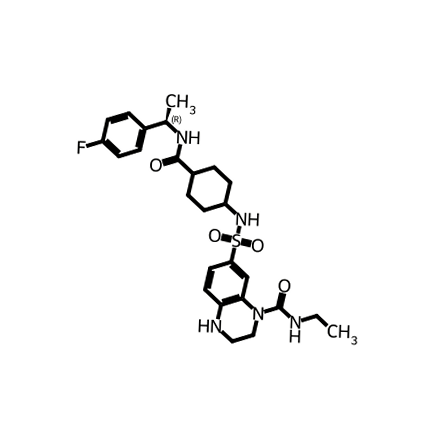 CCNC(=O)N1CCNc2ccc(S(=O)(=O)NC3CCC(C(=O)N[C@H](C)c4ccc(F)cc4)CC3)cc21